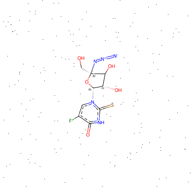 [N-]=[N+]=N[C@]1(CO)O[C@@H](n2cc(F)c(=O)[nH]c2=S)[C@@H](O)C1O